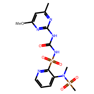 COc1cc(C)nc(NC(=O)NS(=O)(=O)c2ncccc2N(C)S(C)(=O)=O)n1